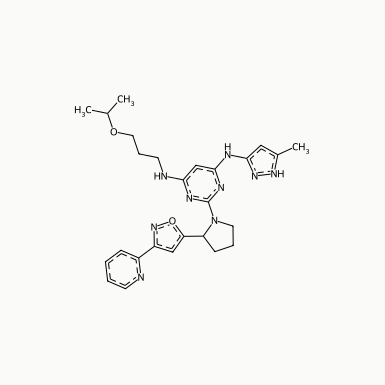 Cc1cc(Nc2cc(NCCCOC(C)C)nc(N3CCCC3c3cc(-c4ccccn4)no3)n2)n[nH]1